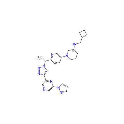 CC(c1ccc(N2CCC[C@@H](NCC3CCC3)C2)cn1)n1cc(-c2cncc(-n3cccn3)n2)nn1